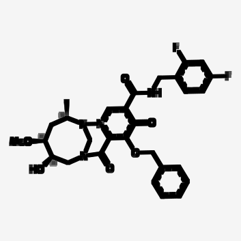 CO[C@H]1C[C@@H](C)N2CN(C[C@H]1O)C(=O)c1c(OCc3ccccc3)c(=O)c(C(=O)NCc3ccc(F)cc3F)cn12